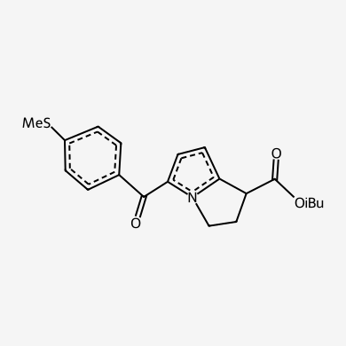 CSc1ccc(C(=O)c2ccc3n2CCC3C(=O)OCC(C)C)cc1